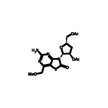 COCc1nc(N)nc2c1sc(=O)n2[C@@H]1O[C@H](COC(C)=O)C[C@H]1OC(C)=O